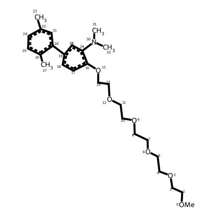 COCCOCCOCCOCCOCCOc1ccc(-c2cc(C)ccc2C)cc1N(C)C